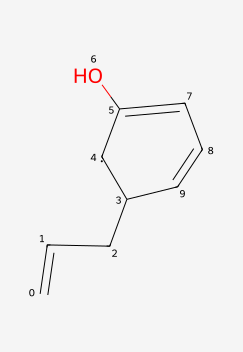 C=CCC1[CH]C(O)=CC=C1